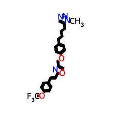 Cn1nncc1CCCCc1ccc(OCc2coc(C=Cc3ccc(OC(F)(F)F)cc3)n2)cc1